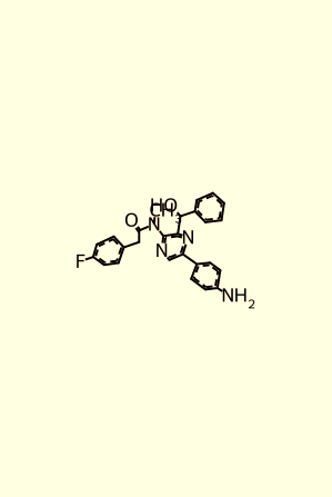 CN(C(=O)Cc1ccc(F)cc1)c1ncc(-c2ccc(N)cc2)nc1C(O)c1ccccc1